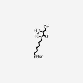 CCCCCCCCCCCCCCCN(O)C(=O)[C@@H](N)CO